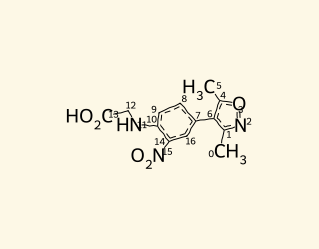 Cc1noc(C)c1-c1ccc(NCC(=O)O)c([N+](=O)[O-])c1